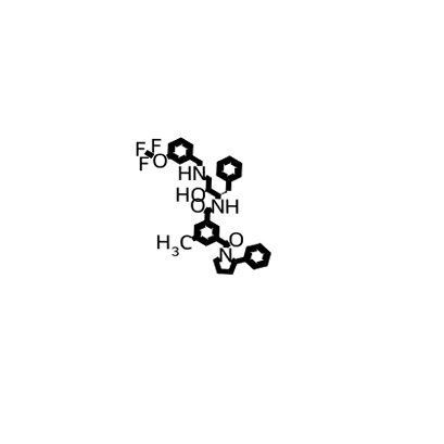 Cc1cc(C(=O)N[C@@H](Cc2ccccc2)[C@H](O)CNCc2cccc(OC(F)(F)F)c2)cc(C(=O)N2CCCC2c2ccccc2)c1